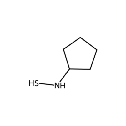 SNC1CCCC1